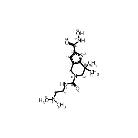 CN(C)CCNC(=O)N1Cc2cc(C(=O)NO)sc2C(C)(C)C1